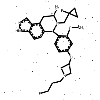 COc1cc(OC2CN(CCCF)C2)ccc1C1c2ccc3[nH]ncc3c2C[C@@H](C)N1CC1(F)CC1